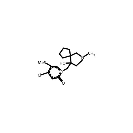 CSc1cn(CC2(O)CCN(C)CC23CCCC3)c(=O)cc1Cl